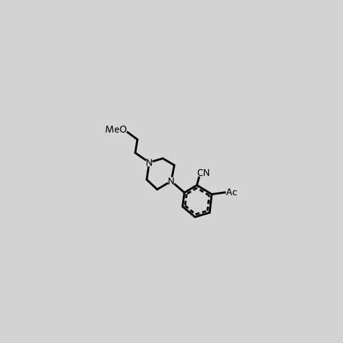 COCCN1CCN(c2cccc(C(C)=O)c2C#N)CC1